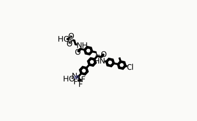 Cc1cc(Cl)ccc1-c1ccc(NC(=O)[C@H](Cc2ccc(C(=O)NCCS(=O)(=O)O)cc2)c2ccc(-c3ccc(/C(=N/O)C(F)(F)F)cc3)cc2)cc1